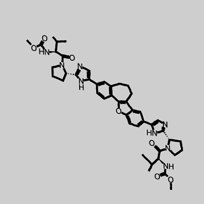 COC(=O)N[C@H](C(=O)N1CCC[C@H]1c1ncc(-c2ccc3c(c2)CCCc2c-3oc3ccc(-c4cnc([C@@H]5CCCN5C(=O)[C@@H](NC(=O)OC)C(C)C)[nH]4)cc23)[nH]1)C(C)C